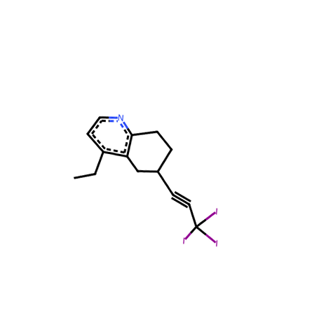 CCc1ccnc2c1CC(C#CC(I)(I)I)CC2